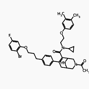 CC(=O)N1CC2CC(c3ccc(CCCOc4cc(F)ccc4Br)cc3)=C(C(=O)N(CCOc3ccc(C)c(C)c3)C3CC3)C(C1)N2